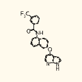 O=C(Nc1cccc2cc(Oc3ccnc4[nH]ccc34)ccc12)c1cccc(C(F)(F)F)c1